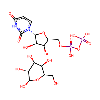 O=c1ccn([C@@H]2O[C@H](COP(=O)(O)OP(=O)(O)O)[C@@H](O)[C@H]2O)c(=O)[nH]1.OC[C@H]1O[C@@H](O)[C@H](O)[C@@H](O)[C@H]1O